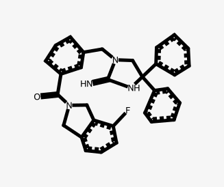 N=C1NC(c2ccccc2)(c2ccccc2)CN1Cc1cccc(C(=O)N2Cc3cccc(F)c3C2)c1